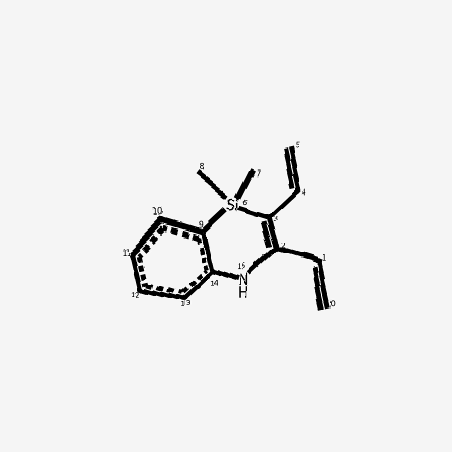 C=CC1=C(C=C)[Si](C)(C)c2ccccc2N1